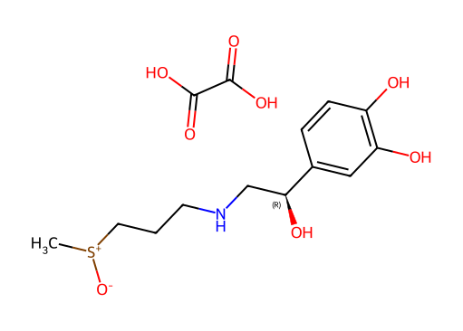 C[S+]([O-])CCCNC[C@H](O)c1ccc(O)c(O)c1.O=C(O)C(=O)O